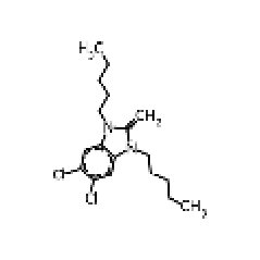 C=C1N(CCCCC)c2cc(Cl)c(Cl)cc2N1CCCCC